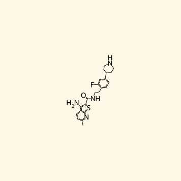 Cc1ccc2c(N)c(C(=O)NCCc3ccc(C4CCNCC4)cc3F)sc2n1